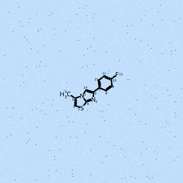 Cc1csc2nc(-c3ccc(F)cc3)cn12